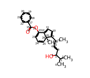 CC(C)C(O)C=C[C@@H](C)C1=CC=C2C(OC(=O)c3ccccc3)=CC=C[C@]21C